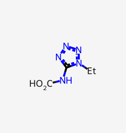 CCn1nnnc1NC(=O)O